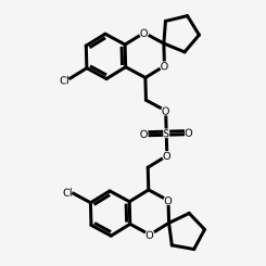 O=S(=O)(OCC1OC2(CCCC2)Oc2ccc(Cl)cc21)OCC1OC2(CCCC2)Oc2ccc(Cl)cc21